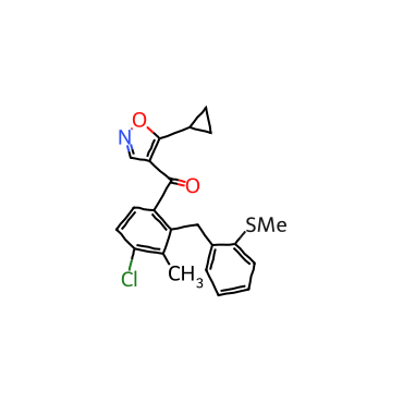 CSc1ccccc1Cc1c(C(=O)c2cnoc2C2CC2)ccc(Cl)c1C